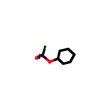 O=[PH](F)OC1CCCCC1